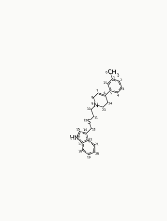 Cc1cccc(C2=CCN(CCSCc3c[nH]c4ccccc34)CC2)c1